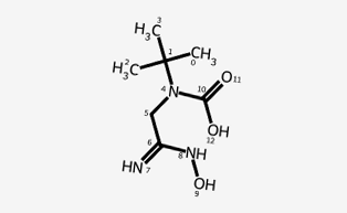 CC(C)(C)N(CC(=N)NO)C(=O)O